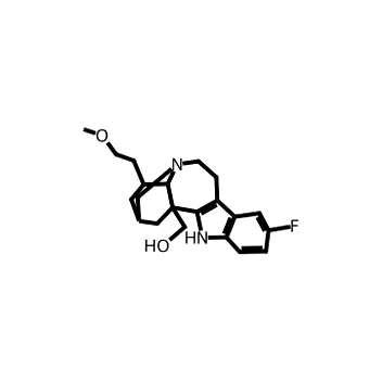 COCCC1CC2CN3CCc4c([nH]c5ccc(F)cc45)C(CO)(C2)C13